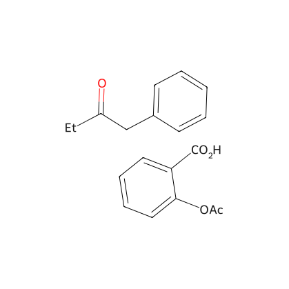 CC(=O)Oc1ccccc1C(=O)O.CCC(=O)Cc1ccccc1